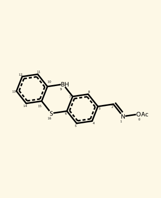 CC(=O)ON=Cc1ccc2c(c1)Bc1ccccc1S2